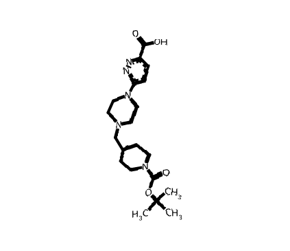 CC(C)(C)OC(=O)N1CCC(CN2CCN(c3ccc(C(=O)O)nn3)CC2)CC1